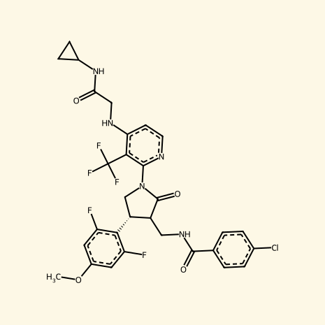 COc1cc(F)c([C@@H]2CN(c3nccc(NCC(=O)NC4CC4)c3C(F)(F)F)C(=O)C2CNC(=O)c2ccc(Cl)cc2)c(F)c1